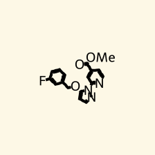 COC(=O)c1ccnc(-n2nccc2OCc2cccc(F)c2)c1